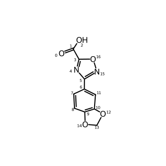 O=C(O)c1nc(-c2ccc3c(c2)OCO3)no1